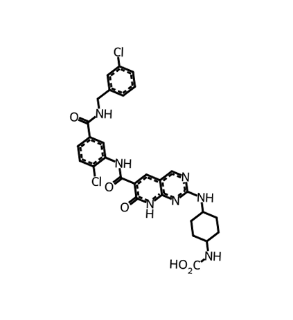 O=C(O)NC1CCC(Nc2ncc3cc(C(=O)Nc4cc(C(=O)NCc5cccc(Cl)c5)ccc4Cl)c(=O)[nH]c3n2)CC1